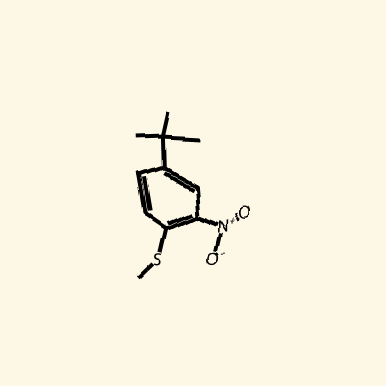 CSc1ccc(C(C)(C)C)cc1[N+](=O)[O-]